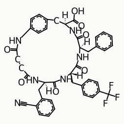 N#Cc1ccccc1C[C@H]1NC(=O)CCC(=O)Nc2ccc(cc2)C[C@@H](C(=O)O)NC(=O)[C@@H](Cc2ccccc2)NC(=O)[C@H](Cc2ccc(C(F)(F)F)cc2)NC1=O